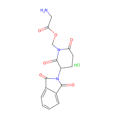 Cl.NCC(=O)OCN1C(=O)CCC(N2C(=O)c3ccccc3C2=O)C1=O